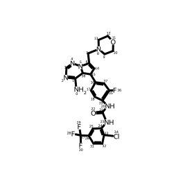 NC1=NC=NN2C(CN3CCOCC3)=CC(c3ccc(NC(=O)Nc4cc(C(F)(F)F)ccc4Cl)c(F)c3)C12